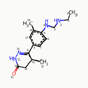 CCNCNc1ccc(C2=NNC(=O)CC2C)cc1C